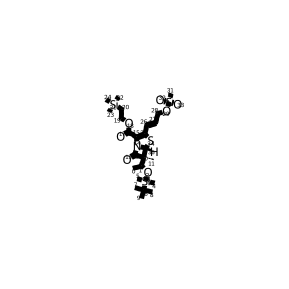 CC(O[Si](C)(C)C(C)(C)C)[C@@]1(C)C(=O)N2C(C(=O)OCC[Si](C)(C)C)=C(/C=C/COS(C)(=O)=O)S[C@@H]21